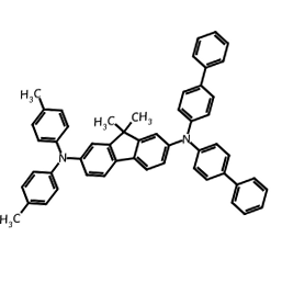 Cc1ccc(N(c2ccc(C)cc2)c2ccc3c(c2)C(C)(C)c2cc(N(c4ccc(-c5ccccc5)cc4)c4ccc(-c5ccccc5)cc4)ccc2-3)cc1